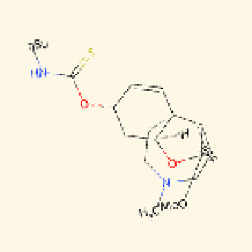 CCCCNC(=S)O[C@@H]1C=C[C@@]23CCN(C)Cc4ccc(OC)c(c42)O[C@H]3C1